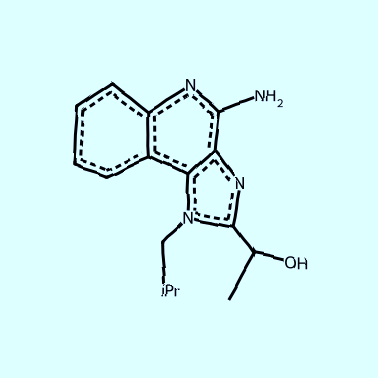 CC(C)Cn1c(C(C)O)nc2c(N)nc3ccccc3c21